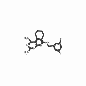 Nc1nc(N)c2c3c(c(NCc4cc(F)cc(F)c4)nc2n1)CCCC3